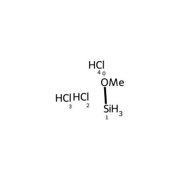 CO[SiH3].Cl.Cl.Cl